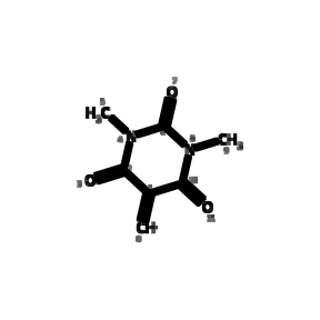 [CH]=C1C(=O)N(C)C(=O)N(C)C1=O